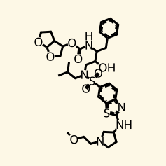 COCCN1CCC(Nc2nc3ccc(S(=O)(=O)N(CC(C)C)CC(O)C(Cc4ccccc4)NC(=O)OC4COC5OCCC45)cc3s2)C1